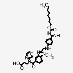 CCCCCCCCOC(=O)NC(=N)c1ccc(NCc2nc3cc(C(=O)N(CCC(=O)O)c4ccccn4)ccc3n2C)cc1